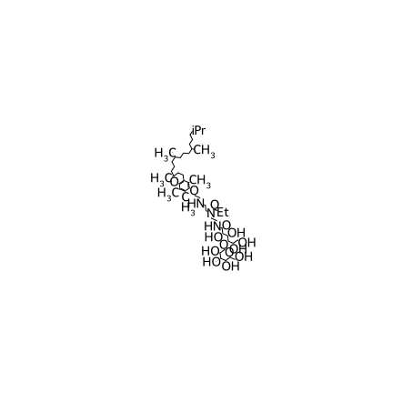 CCC(=O)N(CCNCCOc1c(C)c(C)c2c(c1C)CC[C@@](C)(CCC[C@H](C)CCC[C@H](C)CCCC(C)C)O2)CCNC(=O)C(O)C(O)C(O[C@@H]1OC(CO)[C@H](O)[C@H](O)C1O)C(O)CO